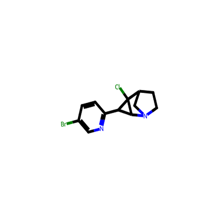 ClC12C3CCN(C3)C1C2c1ccc(Br)cn1